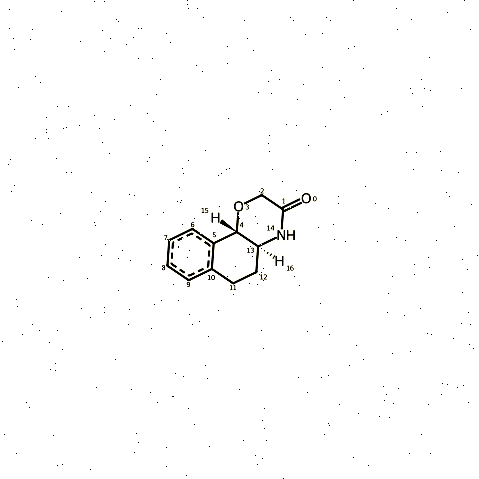 O=C1CO[C@H]2c3ccccc3CC[C@@H]2N1